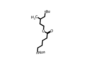 CCCCCCCCCCCCCC(=O)OCCC(C)CC(C)(C)C